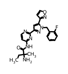 CCC(C)(N)C(=O)Nc1ccnc(-c2cc(-c3ccon3)n(Cc3ccccc3F)n2)n1